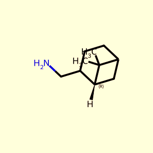 CC1(C)C2CCC(CN)[C@H]1C2